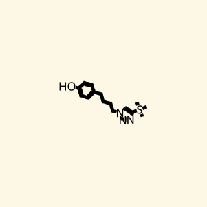 CS(C)(C)c1cn(CCCCc2ccc(O)cc2)nn1